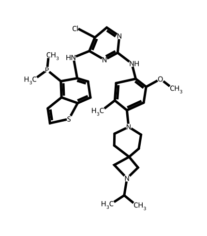 COc1cc(N2CCC3(CC2)CN(C(C)C)C3)c(C)cc1Nc1ncc(Cl)c(Nc2ccc3sccc3c2P(C)C)n1